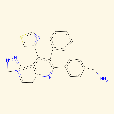 NCc1ccc(-c2nc3ccn4cnnc4c3c(-c3cscn3)c2-c2ccccc2)cc1